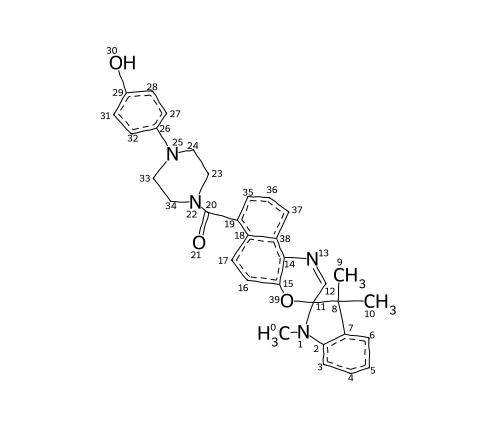 CN1c2ccccc2C(C)(C)C12C=Nc1c(ccc3c(C(=O)N4CCN(c5ccc(O)cc5)CC4)cccc13)O2